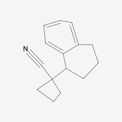 N#CC1(C2CCCc3ccccc32)CCC1